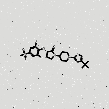 CC(C)(C)c1nsc(N2CCC(N3CC[C@H](Oc4c(F)cc(S(C)(=O)=O)cc4F)C3=O)CC2)n1